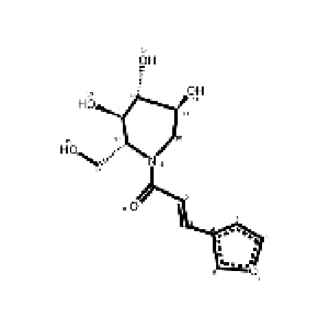 O=C(/C=C/c1ccoc1)N1C[C@H](O)[C@@H](O)[C@H](O)[C@H]1CO